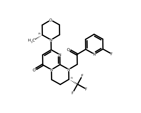 C[C@@H]1COCCN1c1cc(=O)n2c(n1)N(CC(=O)c1cccc(F)n1)[C@H](C(F)(F)F)CC2